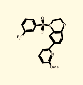 COc1cccc(-c2ccc3c(c2)N(S(=O)(=O)c2cccc(C(F)(F)F)c2)CCO3)n1